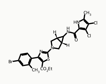 CCOC(=O)c1sc(N2C[C@@H]3C(NC(=O)c4[nH]c(C)c(Cl)c4Cl)[C@@H]3C2)nc1-c1ccc(Br)cc1C